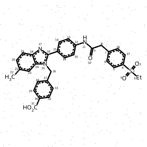 CCS(=O)(=O)c1ccc(CC(=O)Nc2ccc(-c3nc4ccc(C)cc4n3Cc3ccc(C(=O)O)cc3)cc2)cc1